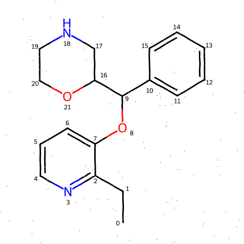 CCc1ncccc1OC(c1ccccc1)C1CNCCO1